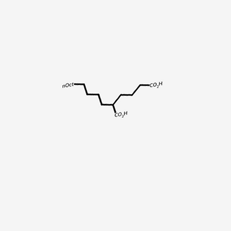 CCCCCCCCCCCCC(CCCC(=O)O)C(=O)O